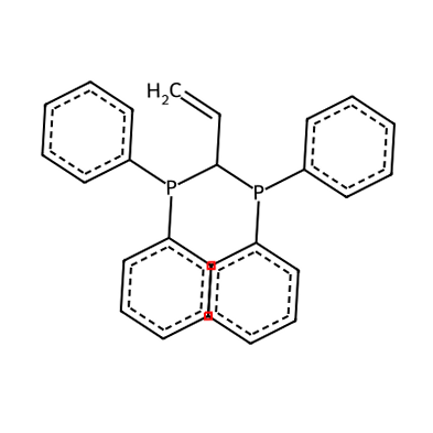 C=CC(P(c1ccccc1)c1ccccc1)P(c1ccccc1)c1ccccc1